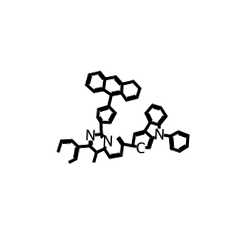 C=C(/C=C\C1N=C(c2ccc(-c3c4c(cc5ccccc35)CCC=C4)cc2)N=C(C(/C=C\C)=C/C)C1C)C1C=c2c(n(-c3ccccc3)c3ccccc23)=CC1